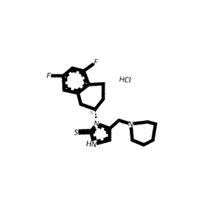 Cl.Fc1cc(F)c2c(c1)C[C@@H](n1c(CN3CCCCC3)c[nH]c1=S)CC2